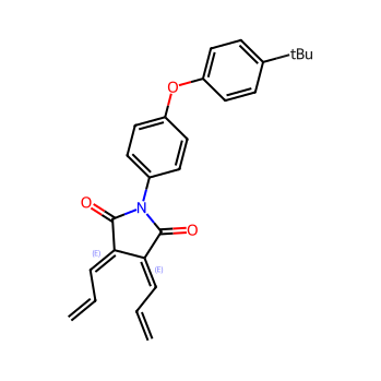 C=C/C=C1/C(=O)N(c2ccc(Oc3ccc(C(C)(C)C)cc3)cc2)C(=O)/C1=C/C=C